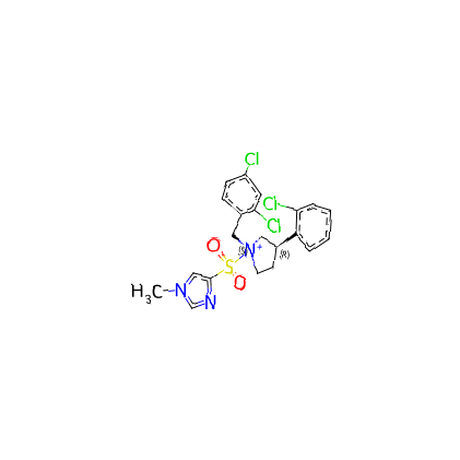 Cn1cnc(S(=O)(=O)[N@@+]2(Cc3ccc(Cl)cc3Cl)CC[C@H](c3ccccc3Cl)C2)c1